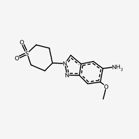 COc1cc2nn(C3CCS(=O)(=O)CC3)cc2cc1N